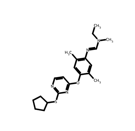 CCN(C)/C=N/c1cc(C)c(Oc2ccnc(SC3CCCC3)n2)cc1C